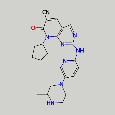 CC1CN(c2ccc(Nc3ncc4cc(C#N)c(=O)n(C5CCCC5)c4n3)nc2)CCN1